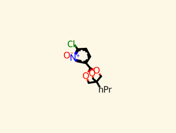 CCCC12COC(c3ccc(Cl)[n+]([O-])c3)(OC1)OC2